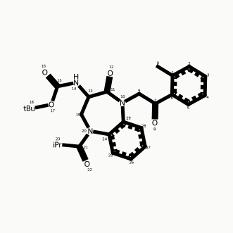 Cc1ccccc1C(=O)CN1C(=O)C(NC(=O)OC(C)(C)C)CN(C(=O)C(C)C)c2ccccc21